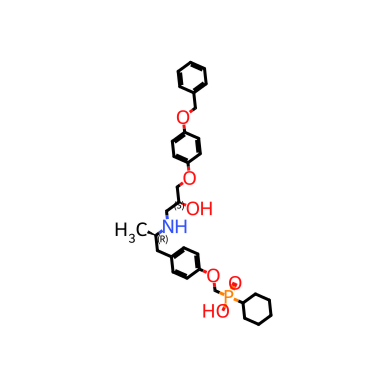 C[C@H](Cc1ccc(OCP(=O)(O)C2CCCCC2)cc1)NC[C@H](O)COc1ccc(OCc2ccccc2)cc1